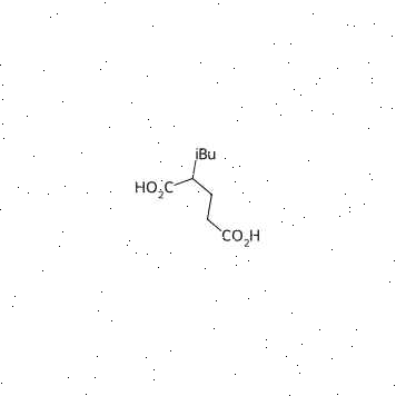 CCC(C)C(CCC(=O)O)C(=O)O